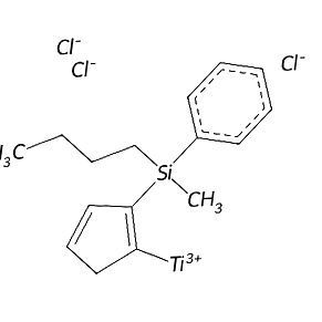 CCCC[Si](C)(C1=[C]([Ti+3])CC=C1)c1ccccc1.[Cl-].[Cl-].[Cl-]